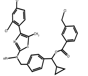 CCCN(Cc1ccc(C(OC(=O)c2cccc(CCl)c2)C2CC2)cc1)c1nc(-c2ccc(Cl)cc2Cl)c(C)s1